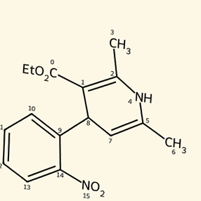 CCOC(=O)C1=C(C)NC(C)=CC1c1ccccc1[N+](=O)[O-]